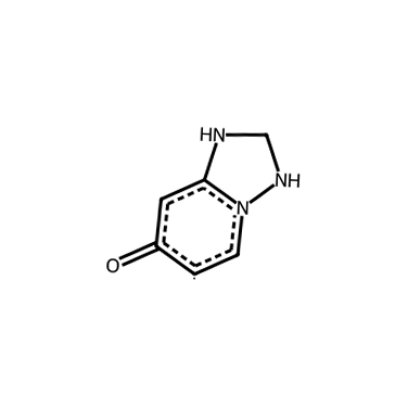 O=c1[c]cn2c(c1)NCN2